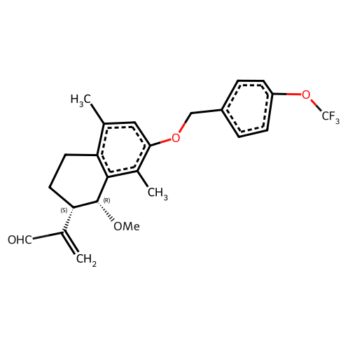 C=C(C=O)[C@@H]1CCc2c(C)cc(OCc3ccc(OC(F)(F)F)cc3)c(C)c2[C@@H]1OC